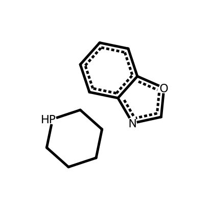 C1CCPCC1.c1ccc2ocnc2c1